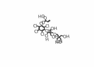 C=CC(=O)OO.OCC(CO)(CO)COCC(CO)(CO)CO.Oc1c(Cl)c(Cl)c(Cl)c(Cl)c1Cl